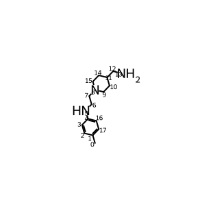 Cc1ccc(NCCN2CCC(CN)CC2)cc1